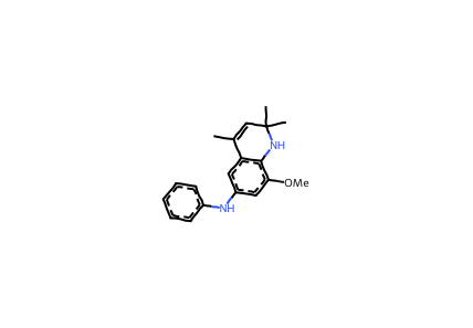 COc1cc(Nc2ccccc2)cc2c1NC(C)(C)C=C2C